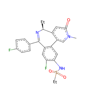 CC[C@@H]1N=C(c2ccc(F)cc2)c2cc(F)c(NS(=O)(=O)CC)cc2-c2cn(C)c(=O)cc21